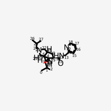 CC(C)C[C@@H]1[C@@H]2[C@@H]3C=N[C@@]1(C(=O)NCc1ccccn1)C[C@@H]3CN2CC(C)C